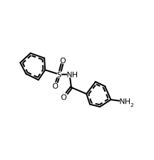 Nc1ccc(C(=O)NS(=O)(=O)c2ccccc2)cc1